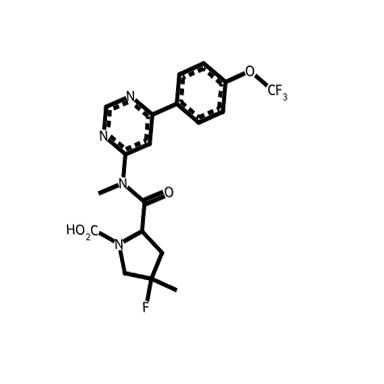 CN(C(=O)C1CC(C)(F)CN1C(=O)O)c1cc(-c2ccc(OC(F)(F)F)cc2)ncn1